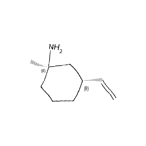 C=C[C@@H]1CCC[C@@](C)(N)C1